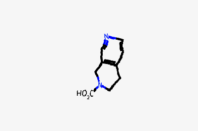 O=C(O)N1CCc2ccncc2C1